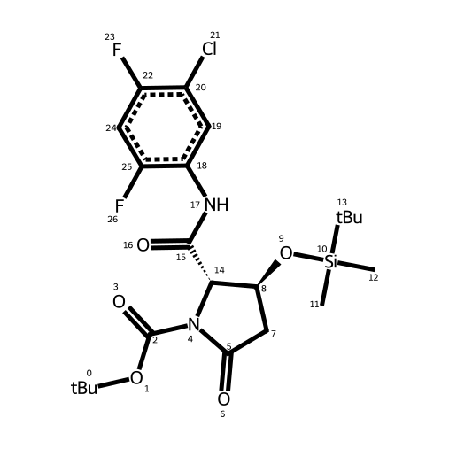 CC(C)(C)OC(=O)N1C(=O)C[C@H](O[Si](C)(C)C(C)(C)C)[C@H]1C(=O)Nc1cc(Cl)c(F)cc1F